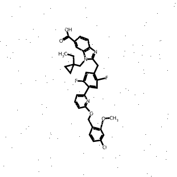 CCC1(Cn2c(Cc3cc(F)c(-c4cccc(OCc5ccc(Cl)cc5OC)n4)cc3F)nc3ccc(C(=O)O)cc32)CC1